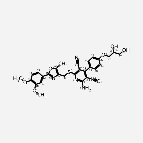 [C-]#[N+]c1c(N)nc(SCc2nc(-c3ccc(OC)c(OC)c3)oc2C)c(C#N)c1-c1ccc(OC[C@@H](O)CO)cc1